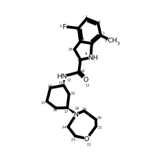 Cc1ccc(F)c2c1NC(C(=O)N[C@H]1CCC[C@H](N3CCCOCC3)C1)C2